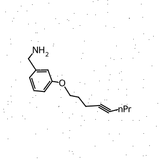 CCCC#CCCCOc1cccc(CN)c1